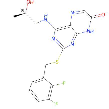 C[C@@H](O)CNc1nc(SCc2cccc(F)c2F)nc2[nH]c(=O)cnc12